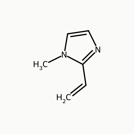 C=Cc1nccn1C